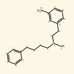 CCCN(CCCCc1ccccc1)CCc1cccc([N+](=O)[O-])c1